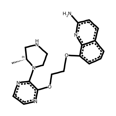 C[C@@H]1CNCCN1c1nccnc1OCCOc1cccc2ccc(N)nc12